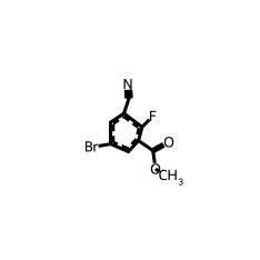 COC(=O)c1cc(Br)cc(C#N)c1F